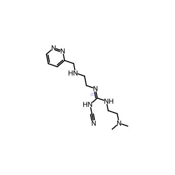 CN(C)CCN/C(=N/CCNCc1cccnn1)NC#N